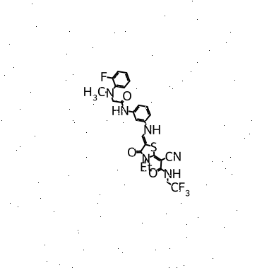 CCn1c(=C(C#N)C(=O)NCC(F)(F)F)sc(=CNc2cccc(NC(=O)CN(C)c3ccccc3F)c2)c1=O